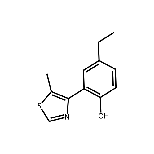 CCc1ccc(O)c(-c2ncsc2C)c1